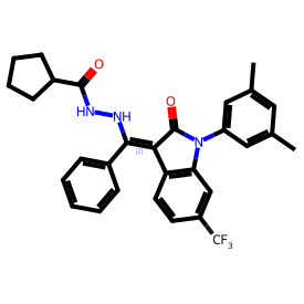 Cc1cc(C)cc(N2C(=O)/C(=C(\NNC(=O)C3CCCC3)c3ccccc3)c3ccc(C(F)(F)F)cc32)c1